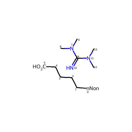 CCCCCCCCCCCCCC(=O)O.CN(C)C(=N)N(C)C